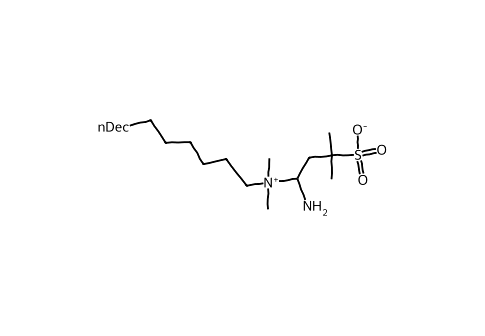 CCCCCCCCCCCCCCCC[N+](C)(C)C(N)CC(C)(C)S(=O)(=O)[O-]